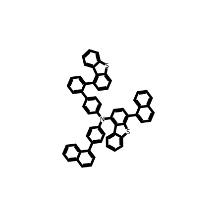 c1ccc(-c2cccc3sc4ccccc4c23)c(-c2ccc(N(c3ccc(-c4cccc5ccccc45)cc3)c3ccc(-c4cccc5ccccc45)c4sc5ccccc5c34)cc2)c1